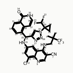 CC(C)(CNc1c(C#N)cnc2c(Cl)cc(N[C@H](c3cn(C4(C(F)F)CC4)nn3)c3cccc4c(=O)[nH]ccc34)cc12)C(F)(F)F